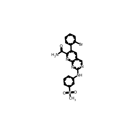 CS(=O)(=O)c1cccc(Nc2ncc3cc(-c4ccccc4Br)c(C(N)=O)nc3n2)c1